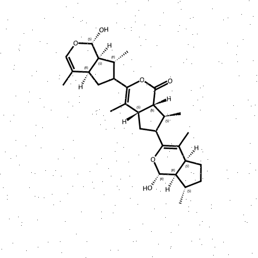 CC1=CO[C@H](O)[C@H]2[C@H](C)C(C3=C(C)[C@H]4CC(C5=C(C)[C@H]6CC[C@H](C)[C@H]6[C@H](O)O5)[C@H](C)[C@H]4C(=O)O3)C[C@@H]12